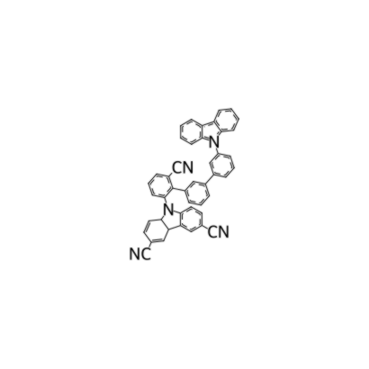 N#CC1=CC2c3cc(C#N)ccc3N(c3cccc(C#N)c3-c3cccc(-c4cccc(-n5c6ccccc6c6ccccc65)c4)c3)C2C=C1